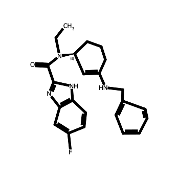 CCN(C(=O)c1nc2cc(F)ccc2[nH]1)[C@@H]1C=C(NCc2ccccc2)CCC1